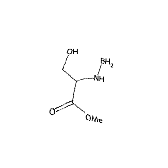 BNC(CO)C(=O)OC